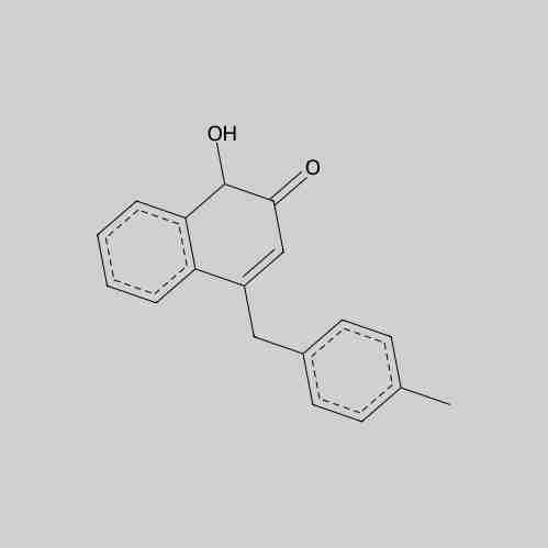 Cc1ccc(CC2=CC(=O)C(O)c3ccccc32)cc1